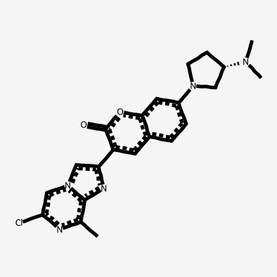 Cc1nc(Cl)cn2cc(-c3cc4ccc(N5CC[C@H](N(C)C)C5)cc4oc3=O)nc12